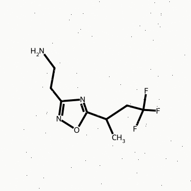 CC(CC(F)(F)F)c1nc(CCN)no1